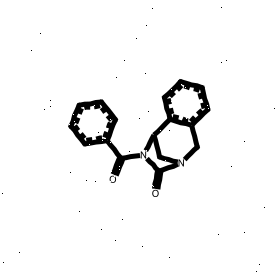 O=C(c1ccccc1)N1C(=O)N2Cc3ccccc3C1C2